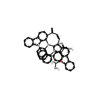 C=C1/C=C\c2c(n(-c3ccccc3)c3c2ccc2c4ccccc4n(C(N)N)c23)N(c2ccccc2)c2c1ccc1c3ccccc3n(-c3cccc(-c4ccnc(C(=N)N)c4)c3)c21